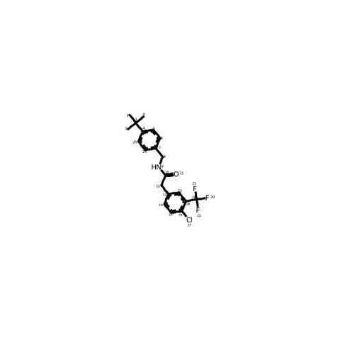 CC(C)(C)c1ccc(CNC(=O)Cc2ccc(Cl)c(C(F)(F)F)c2)cc1